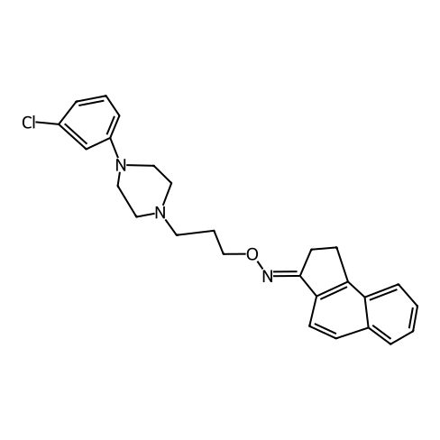 Clc1cccc(N2CCN(CCCON=C3CCc4c3ccc3ccccc43)CC2)c1